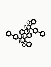 c1ccc(-c2ccc(-c3nc(-c4ccccc4-c4ccccc4-c4nc(-c5ccc(-c6ccccc6)cc5)c5c(n4)oc4ccccc45)c4c(n3)oc3ccccc34)cc2)cc1